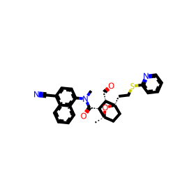 CN(C(=O)[C@@H]1[C@H](C=O)[C@@]2(CCSc3ccccn3)CC[C@]1(C)O2)c1ccc(C#N)c2ccccc12